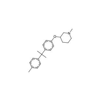 Cc1ccc(C(C)(C)c2ccc(OC3CCCN(C)C3)cc2)cc1